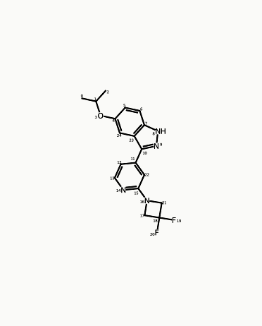 CC(C)Oc1ccc2[nH]nc(-c3ccnc(N4CC(F)(F)C4)c3)c2c1